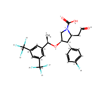 C[C@@H](O[C@H]1CN(C(=O)O)[C@@H](CC=O)[C@@H]1c1ccc(F)cc1)c1cc(C(F)(F)F)cc(C(F)(F)F)c1